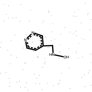 ONCc1ccnnc1